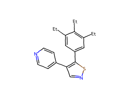 CCc1cc(-c2sncc2-c2ccncc2)cc(CC)c1CC